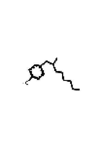 CCCCCCC(C)Cc1ccc(O)cc1